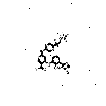 CCC(=O)c1cnc(Nc2cnc(C(F)(F)COS(=O)(=O)C(F)(F)F)cn2)cc1Nc1cccc(-c2ncn(C)n2)c1OC